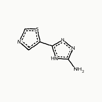 Nc1nnc(-c2cncs2)[nH]1